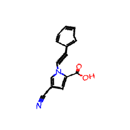 N#Cc1cc(C(=O)O)n(C=Cc2ccccc2)c1